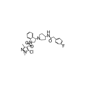 Cc1nn(C)c(Cl)c1S(=O)(=O)N1C[C@H](N2CCC(NC(=O)Cc3ccc(F)cc3)CC2)c2ccccc21